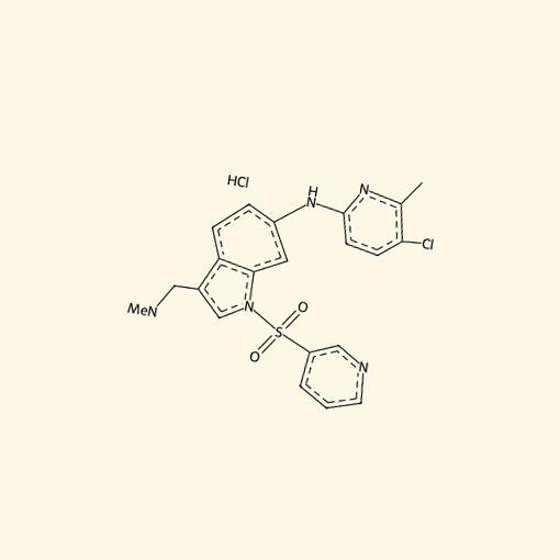 CNCc1cn(S(=O)(=O)c2cccnc2)c2cc(Nc3ccc(Cl)c(C)n3)ccc12.Cl